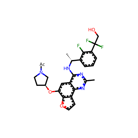 CC(=O)N1CC[C@H](Oc2cc3c(N[C@H](C)c4cccc(C(F)(F)CO)c4F)nc(C)nc3c3ccoc23)C1